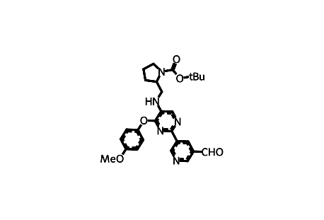 COc1ccc(Oc2nc(-c3cncc(C=O)c3)ncc2NCC2CCCN2C(=O)OC(C)(C)C)cc1